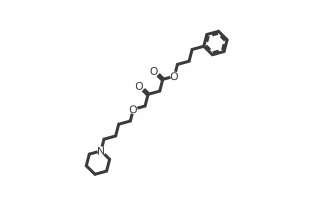 O=C(COCCCCN1CCCCC1)CC(=O)OCCCc1ccccc1